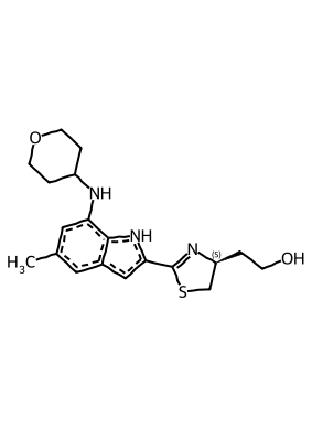 Cc1cc(NC2CCOCC2)c2[nH]c(C3=N[C@@H](CCO)CS3)cc2c1